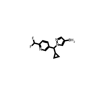 Bc1cnn(C(c2ccc(C(F)F)nc2)C2CC2)c1